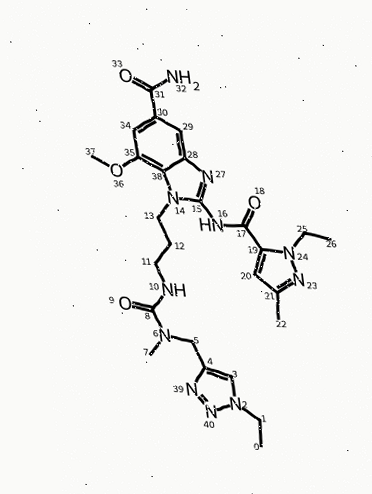 CCn1cc(CN(C)C(=O)NCCCn2c(NC(=O)c3cc(C)nn3CC)nc3cc(C(N)=O)cc(OC)c32)nn1